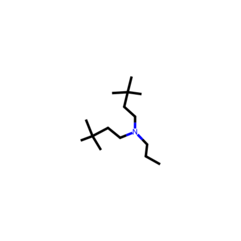 CCCN(CCC(C)(C)C)CCC(C)(C)C